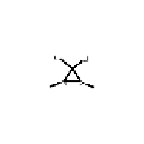 C[C@@H]1[C@H](C)C1(Cl)Cl